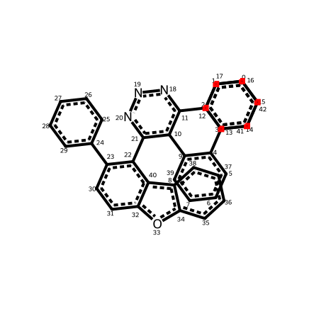 c1ccc(-c2ccccc2-c2c(-c3ccccc3)nnnc2-c2c(-c3ccccc3)ccc3oc4ccccc4c23)cc1